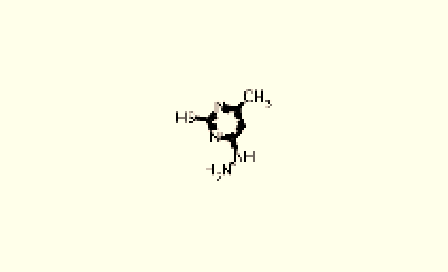 Cc1cc(NN)nc(S)n1